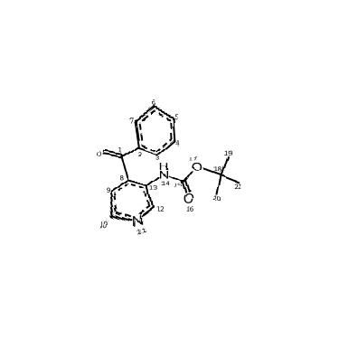 C=C(c1ccccc1)c1ccncc1NC(=O)OC(C)(C)C